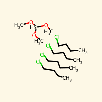 CCCCCl.CCCCCl.CCCCCl.CCCCCl.CO[SiH](OC)OC